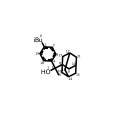 CCC(C)c1ccc(C(C)(O)C23CC4CC(CC(C4)C2)C3)cc1